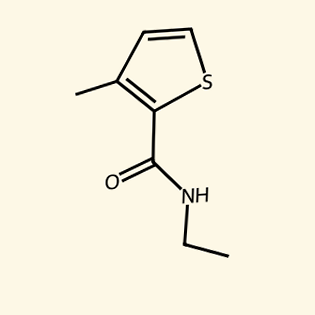 CCNC(=O)c1sccc1C